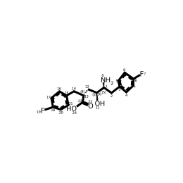 N[C@@H](Cc1ccc(F)cc1)[C@@H](O)C[C@@H](Cc1ccc(F)cc1)C(=O)O